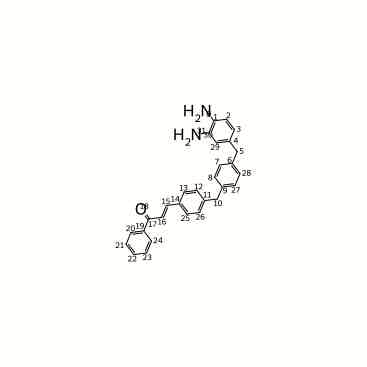 Nc1ccc(Cc2ccc(Cc3ccc(/C=C/C(=O)c4ccccc4)cc3)cc2)cc1N